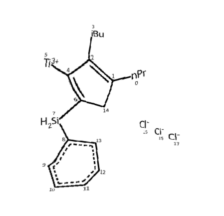 CCCC1=C(C(C)CC)[C]([Ti+3])=C([SiH2]c2ccccc2)C1.[Cl-].[Cl-].[Cl-]